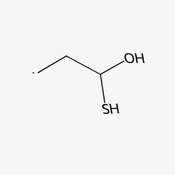 [CH2]CC(O)S